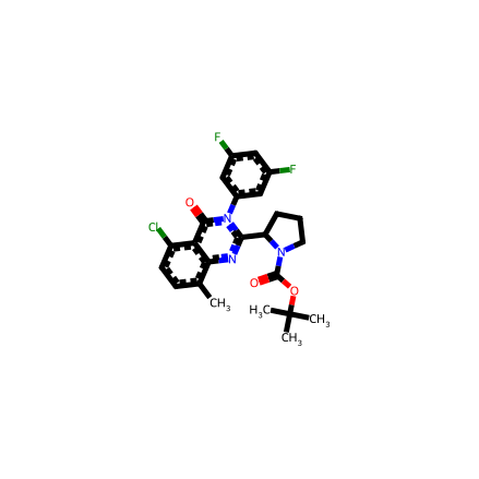 Cc1ccc(Cl)c2c(=O)n(-c3cc(F)cc(F)c3)c(C3CCCN3C(=O)OC(C)(C)C)nc12